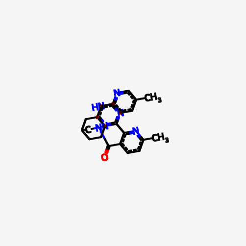 Cc1ccc(NC2CC3CCC2N(C(=O)c2ccc(C)nc2-c2ncccn2)C3)nc1